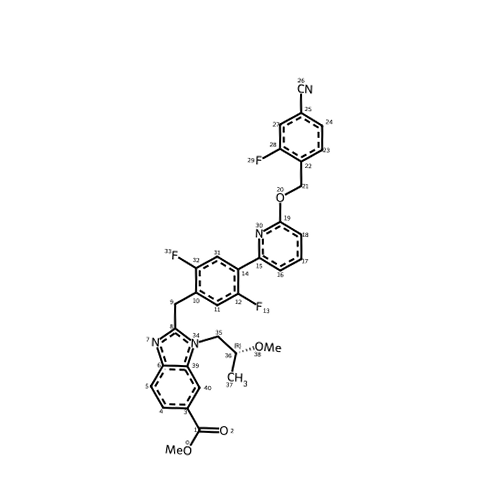 COC(=O)c1ccc2nc(Cc3cc(F)c(-c4cccc(OCc5ccc(C#N)cc5F)n4)cc3F)n(C[C@@H](C)OC)c2c1